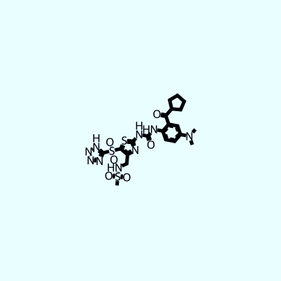 CN(C)c1ccc(NC(=O)Nc2nc(CNS(C)(=O)=O)c(S(=O)(=O)c3nnn[nH]3)s2)c(C(=O)C2CCCC2)c1